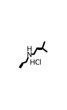 C=CCNCC=C(C)C.Cl